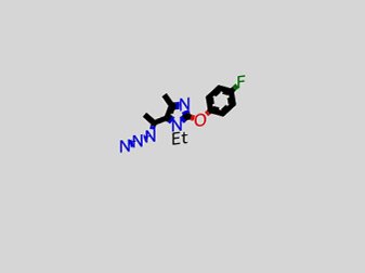 CCn1c(Oc2ccc(F)cc2)nc(C)c1C(C)N=[N+]=[N-]